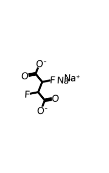 O=C([O-])C(F)C(F)C(=O)[O-].[Na+].[Na+]